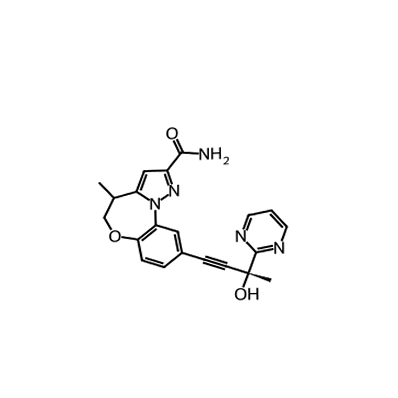 CC1COc2ccc(C#C[C@@](C)(O)c3ncccn3)cc2-n2nc(C(N)=O)cc21